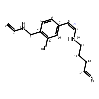 C=CNCc1ccc(/C=C\NCCCC=S)cc1F